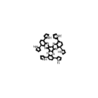 c1c[nH]c(-c2ccc(-c3ccc[nH]3)c3nc4c(nc23)c2nc3c(-c5ccc[nH]5)ccc(-c5ccc[nH]5)c3nc2c2nc3c(-c5ccc[nH]5)ccc(-c5ccc[nH]5)c3nc42)c1